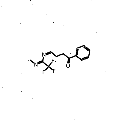 C/N=C(\N=C/CCC(=O)c1ccccc1)C(F)(F)F